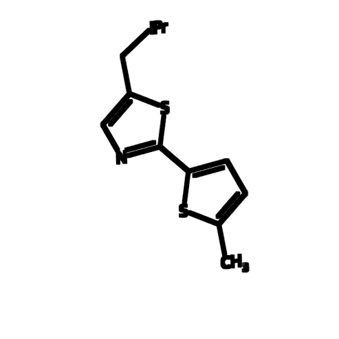 Cc1ccc(-c2ncc(CC(C)C)s2)s1